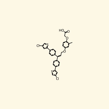 Cc1cc(OCC=C(c2ccc(-c3cc(Cl)cs3)cc2)c2ccc(-c3cc(Cl)cs3)cc2)ccc1OCC(=O)O